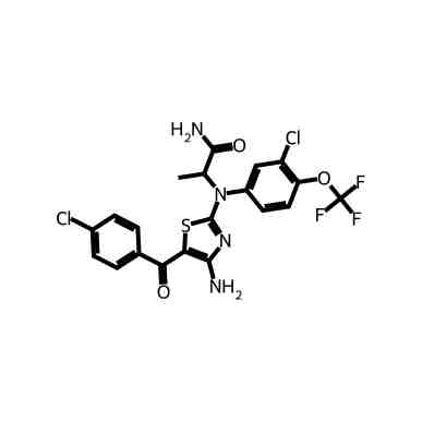 CC(C(N)=O)N(c1ccc(OC(F)(F)F)c(Cl)c1)c1nc(N)c(C(=O)c2ccc(Cl)cc2)s1